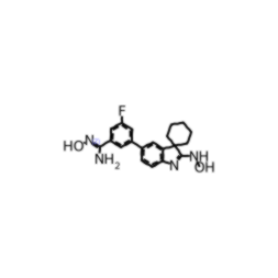 N/C(=N\O)c1cc(F)cc(-c2ccc3c(c2)C2(CCCCC2)C(NO)=N3)c1